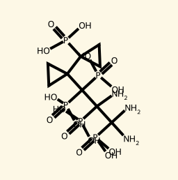 NC(N)(C(N)(C(C1(C2(P(=O)(O)O)CC2)CC1)(P(=O)(O)O)P(=O)(O)O)P(=O)(O)O)P(=O)(O)O